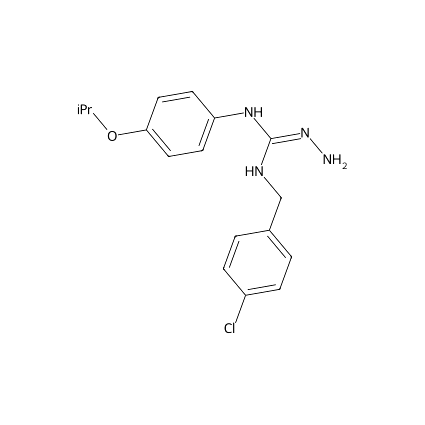 CC(C)Oc1ccc(NC(=NN)NCc2ccc(Cl)cc2)cc1